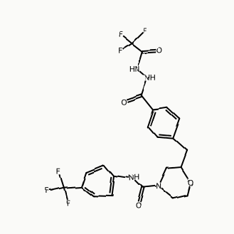 O=C(NNC(=O)C(F)(F)F)c1ccc(CC2CN(C(=O)Nc3ccc(C(F)(F)F)cc3)CCO2)cc1